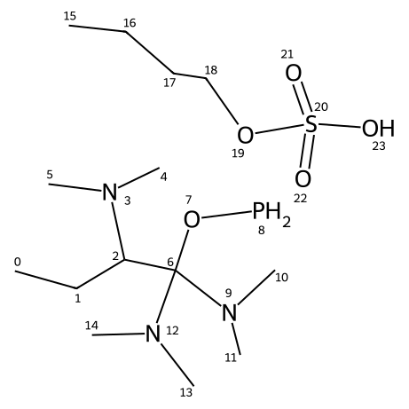 CCC(N(C)C)C(OP)(N(C)C)N(C)C.CCCCOS(=O)(=O)O